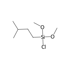 CO[Si](Cl)(CCC(C)C)OC